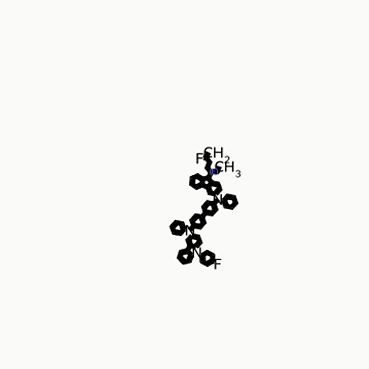 C=C(F)CC/C(=C\C)C1c2ccccc2-c2cc(N(C3=CCCC=C3)c3ccc(-c4ccc(N(c5ccccc5)c5ccc6c(c5)c5ccccc5n6C5=CC=C(F)CC5)cc4)cc3)ccc21